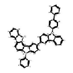 c1ccc(-c2ccc(-n3c4ccccc4c4cc(-c5ccc6c(c5)c5c7sc8ccccc8c7ccc5n6-c5ccccc5)ccc43)cc2)cc1